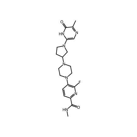 CNC(=O)c1ccc(N2CCN(C3CCN(c4cnc(C)c(=O)[nH]4)C3)CC2)c(F)n1